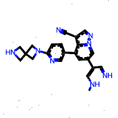 CN/C=C(\C=N)c1cc(-c2ccc(N3CC4(CNC4)C3)nc2)c2c(C#N)cnn2c1